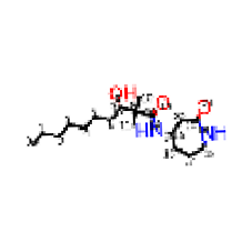 CCCCCCC[C@H](O)C(C)(C)C(=O)N[C@H]1CCCNC(=O)C1